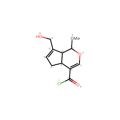 COC1OC=C(C(=O)Cl)C2CC=C(CO)C12